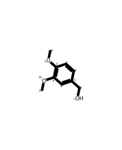 COc1ccc([CH]O)cc1OC